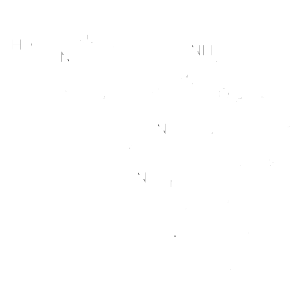 CN(C)CCCc1nc(-c2ccccc2)c(-c2ccccc2)n1CC(N)=O